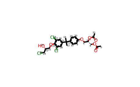 CC(=O)OC[C@H](COc1ccc(C(C)(C)c2cc(Cl)c(OC[C@@H](O)CCl)c(Cl)c2)cc1)OC(C)=O